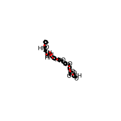 O=C1CC[C@H](N2C(=O)C=C(N3CCC(C(=O)N4CCC(CC(=O)N5CCN(c6ccc(Nc7ncnc8c7ncn8C7CC(NC(=O)Cc8ccccc8)C7)cc6)CC5)CC4)CC3)C2=O)C(=O)N1